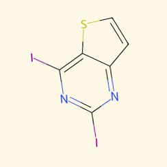 Ic1nc(I)c2sccc2n1